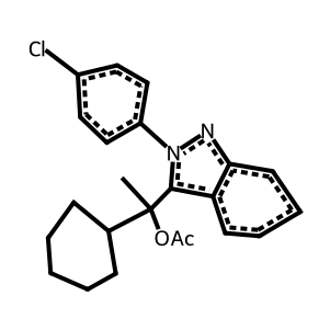 CC(=O)OC(C)(c1c2ccccc2nn1-c1ccc(Cl)cc1)C1CCCCC1